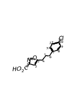 O=C(O)c1cc(CCCc2ccc(Cl)cc2)on1